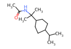 CC(=O)NC(C)(C)C1CCC(C(C)C)CC1